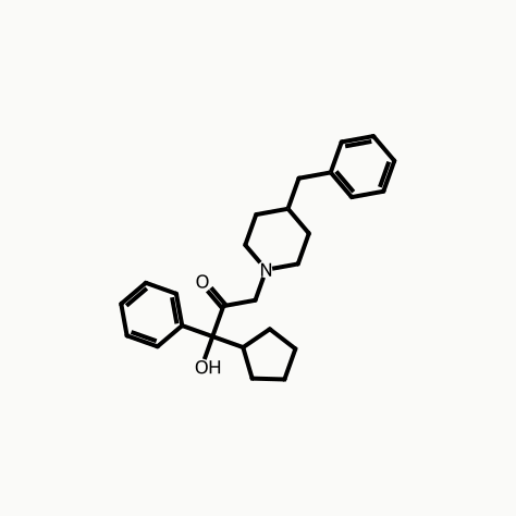 O=C(CN1CCC(Cc2ccccc2)CC1)C(O)(c1ccccc1)C1CCCC1